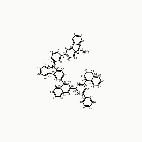 CC(C)n1c2ccccc2c2cc(-c3cccc(-n4c5ccccc5c5cc(-c6cc(-c7nc(-c8ccccc8)cc(-c8cccc9ccccc89)n7)cc7ccccc67)ccc54)c3)ccc21